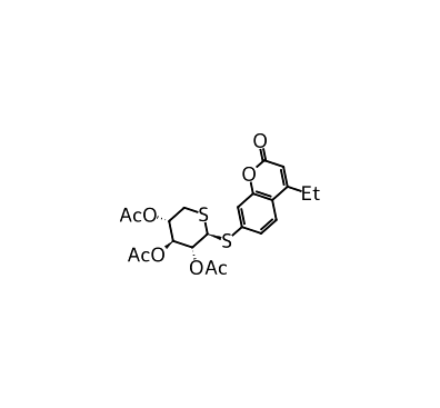 CCc1cc(=O)oc2cc(S[C@@H]3SC[C@@H](OC(C)=O)[C@H](OC(C)=O)[C@H]3OC(C)=O)ccc12